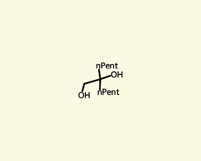 CCCCCC(O)(CO)CCCCC